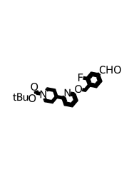 CC(C)(C)OC(=O)N1CCC(c2cccc(OCc3ccc(C=O)cc3F)n2)CC1